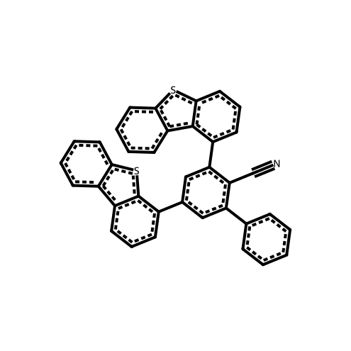 N#Cc1c(-c2ccccc2)cc(-c2cccc3c2sc2ccccc23)cc1-c1cccc2sc3ccccc3c12